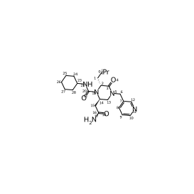 CC(C)C[C@@H]1C(=O)N(Cc2cccnc2)C[C@@H](CC(N)=O)N1C(=O)NC1CCCCC1